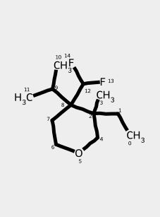 CCC1(C)COCCC1(C(C)C)C(F)F